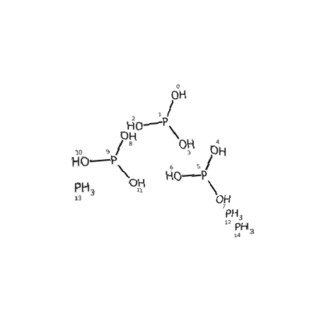 OP(O)O.OP(O)O.OP(O)O.P.P.P